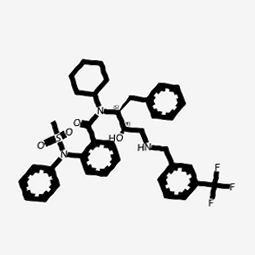 CS(=O)(=O)N(c1ccccc1)c1ccccc1C(=O)N(C1CCCCC1)[C@@H](Cc1ccccc1)[C@H](O)CNCc1cccc(C(F)(F)F)c1